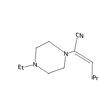 CCN1CCN(/C(C#N)=C\C(C)C)CC1